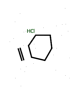 C1CCCCC1.C=C.Cl